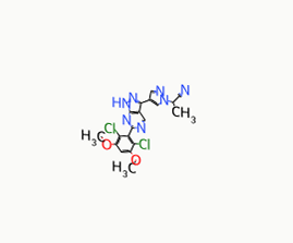 COc1cc(OC)c(Cl)c(-c2ncc3c(-c4cnn(C(C)C#N)c4)n[nH]c3n2)c1Cl